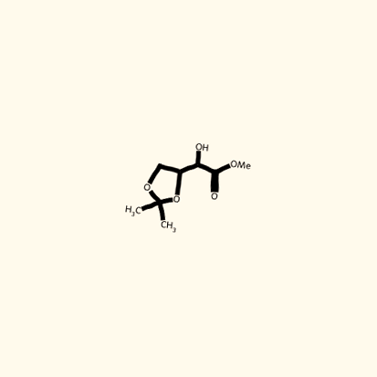 COC(=O)C(O)C1COC(C)(C)O1